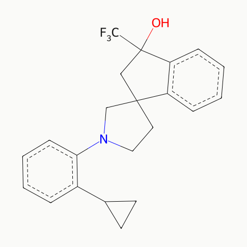 OC1(C(F)(F)F)CC2(CCN(c3ccccc3C3CC3)C2)c2ccccc21